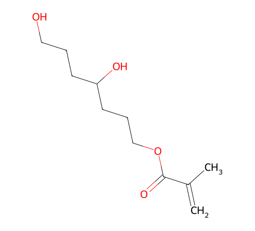 C=C(C)C(=O)OCCCC(O)CCCO